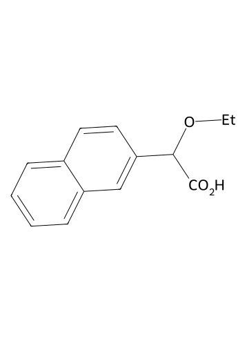 CCOC(C(=O)O)c1ccc2ccccc2c1